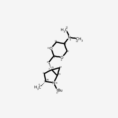 C[C@@H]1C[C@@]2(CC3OCC(N(C)C)CO3)CC2N1C(C)(C)C